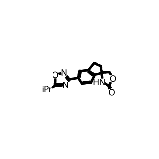 CC(C)c1nc(-c2ccc3c(c2)CCC32COC(=O)N2)no1